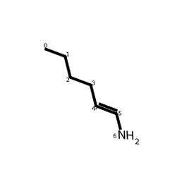 CCCC[C]=CN